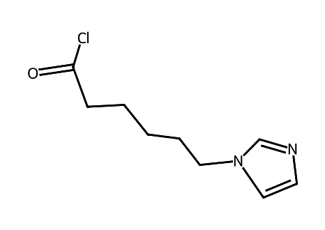 O=C(Cl)CCCCCn1ccnc1